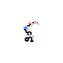 CCOC(=O)CCn1ncc(/C=C2/CN(C(C(=O)C3CC3)c3ccccc3F)CCC2S)n1